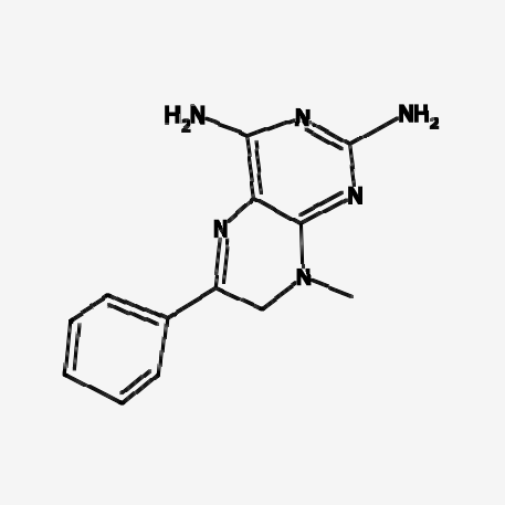 CN1CC(c2ccccc2)=Nc2c(N)nc(N)nc21